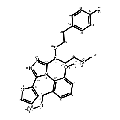 COCc1cccc(OC)c1-n1c(-c2ccco2)nnc1N(CCSI)SCCc1ccc(Cl)cc1